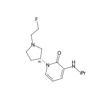 CC(C)Nc1cccn([C@@H]2CCN(CCF)C2)c1=O